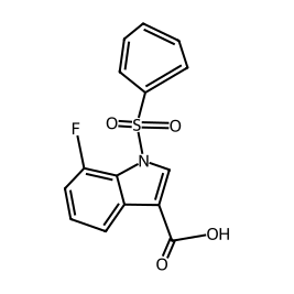 O=C(O)c1cn(S(=O)(=O)c2ccccc2)c2c(F)cccc12